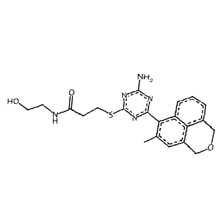 Cc1cc2c3c(cccc3c1-c1nc(N)nc(SCCC(=O)NCCO)n1)COC2